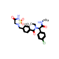 CCCCNC(=O)C(c1ccc(Cl)cc1)N(CC(=O)O)C(=O)c1ccc(CN2CC(=O)NS2(=O)=O)cc1